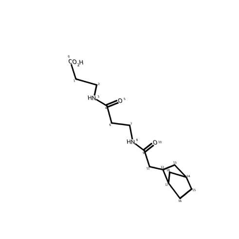 O=C(O)CCNC(=O)CCNC(=O)CC1CC2CCC1C2